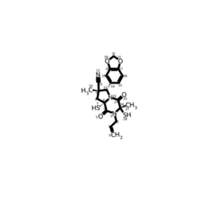 C=CCN1C(=O)[C@@]2(S)C[C@](C)(C#N)[C@H](c3ccc4c(c3)OCO4)N2C(=O)[C@]1(C)S